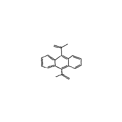 C=C(C)c1c2ccccc2c(C(=C)C)c2ccccc12